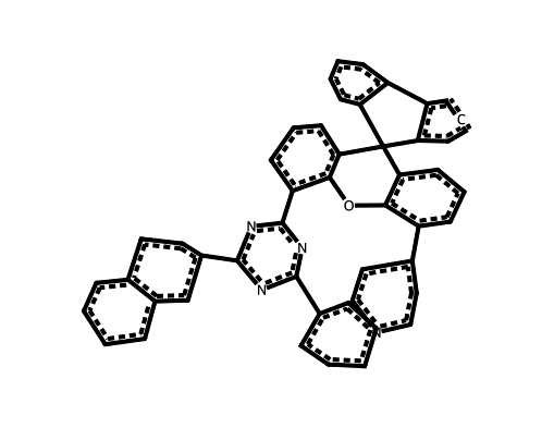 c1ccc(-c2nc(-c3ccc4ccccc4c3)nc(-c3cccc4c3Oc3c(-c5ccncc5)cccc3C43c4ccccc4-c4ccccc43)n2)cc1